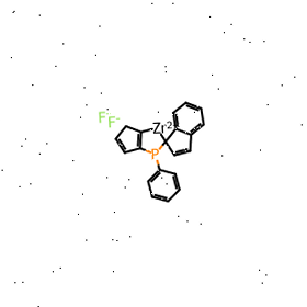 C1=CC2=[C](C1)[Zr+2][C]1(C=Cc3ccccc31)P2c1ccccc1.[F-].[F-]